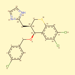 Clc1ccc(CO[C@@H]2c3cc(Cl)c(Cl)cc3SC[C@@H]2Cc2ncc[nH]2)cc1